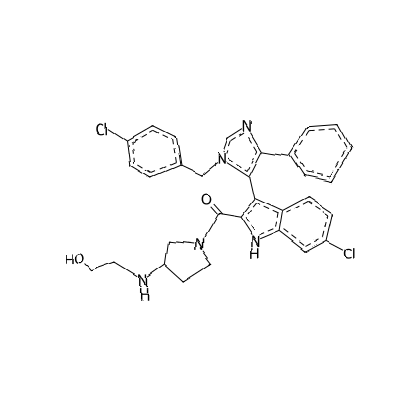 O=C(c1[nH]c2cc(Cl)ccc2c1-c1c(-c2ccccc2)ncn1Cc1ccc(Cl)cc1)N1CCC(NCCO)C1